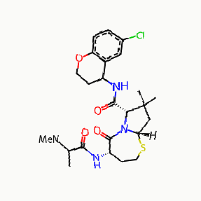 CNC(C)C(=O)N[C@H]1CCS[C@H]2CC(C)(C)[C@@H](C(=O)NC3CCOc4ccc(Cl)cc43)N2C1=O